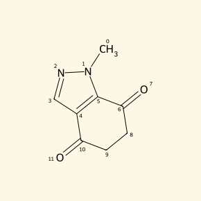 Cn1ncc2c1C(=O)CCC2=O